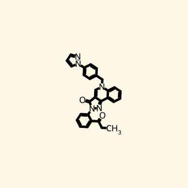 CCC(=O)c1ccccc1-n1nc2c3ccccc3n(Cc3ccc(-n4cccn4)cc3)cc-2c1=O